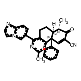 Cc1nc(-c2ccc3nccn3c2)c2c(n1)[C@@]1(c3ccccc3)C=C(C#N)C(=O)[C@@H](C)[C@@H]1CC2